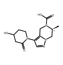 C[C@H]1Cn2ncc(N3CCC(O)CC3=O)c2CN1C(=O)O